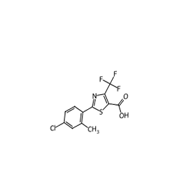 Cc1cc(Cl)ccc1-c1nc(C(F)(F)F)c(C(=O)O)s1